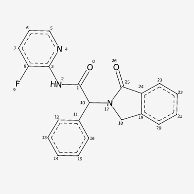 O=C(Nc1ncccc1F)C(c1ccccc1)N1Cc2ccccc2C1=O